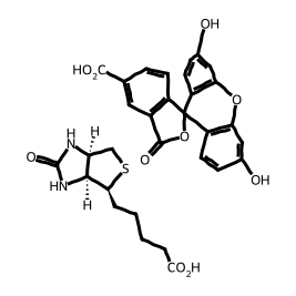 O=C(O)CCCC[C@@H]1SC[C@@H]2NC(=O)N[C@@H]21.O=C(O)c1ccc2c(c1)C(=O)OC21c2ccc(O)cc2Oc2cc(O)ccc21